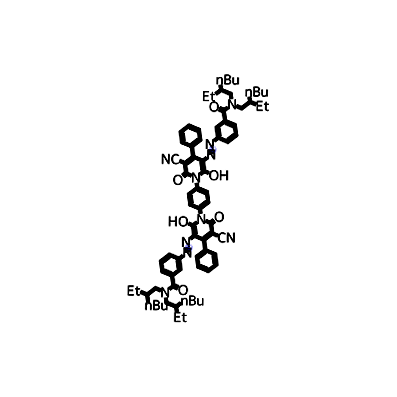 CCCCC(CC)CN(CC(CC)CCCC)C(=O)c1cccc(/N=N/c2c(-c3ccccc3)c(C#N)c(=O)n(-c3ccc(-n4c(O)c(/N=N/c5cccc(C(=O)N(CC(CC)CCCC)CC(CC)CCCC)c5)c(-c5ccccc5)c(C#N)c4=O)cc3)c2O)c1